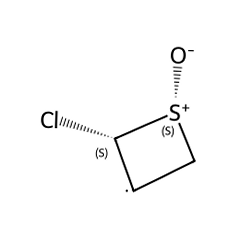 [O-][S@+]1C[CH][C@@H]1Cl